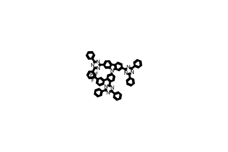 FC(F)(F)c1cccc(-c2cc(-n3c4cc(-c5nc(-c6ccccc6)nc(-c6ccccc6)n5)ccc4c4ccc(-c5nc(-c6ccccc6)nc(-c6ccccc6)n5)cc43)ccc2-c2nc(-c3ccccc3)nc(-c3ccccc3)n2)c1